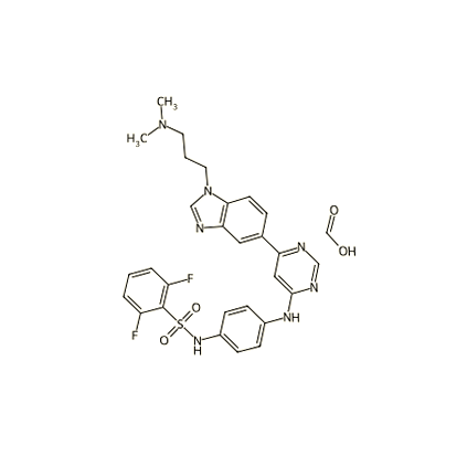 CN(C)CCCn1cnc2cc(-c3cc(Nc4ccc(NS(=O)(=O)c5c(F)cccc5F)cc4)ncn3)ccc21.O=CO